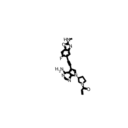 C=CC(=O)N1CC[C@H](n2cc(C#Cc3cc4nc(NC)oc4cc3F)c3c(N)ncnc32)C1